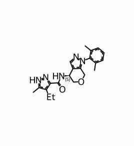 CCc1c(C(=O)N[C@@H]2COCc3c2cnn3-c2c(C)cccc2C)n[nH]c1C